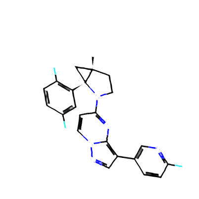 Fc1ccc(F)c([C@@]23C[C@@H]2CCN3c2ccn3ncc(-c4ccc(F)nc4)c3n2)c1